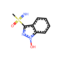 CS(=N)(=O)c1nn(O)c2ccccc12